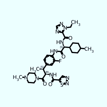 CCn1ncnc1C(=O)N[C@H](C(=O)Nc1ccc([C@H](C)[C@@H](NC(=O)c2cnns2)C(=O)N2CCN(C)CC2)cc1F)C1CCC(C)CC1